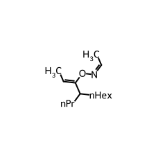 C/C=N\O/C(=C\C)C(CCC)CCCCCC